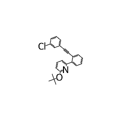 CC(C)(C)Oc1cccc(-c2ccccc2C#Cc2cccc(Cl)c2)n1